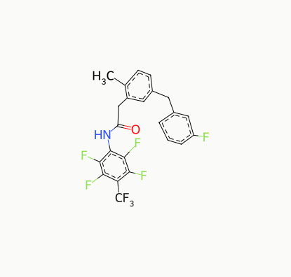 Cc1ccc(Cc2cccc(F)c2)cc1CC(=O)Nc1c(F)c(F)c(C(F)(F)F)c(F)c1F